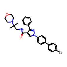 CCc1ccc(-c2ccc(-n3cc(C(=O)NCC(C)(C)N4CCOCC4)c(-c4ccccc4)n3)cc2)cc1